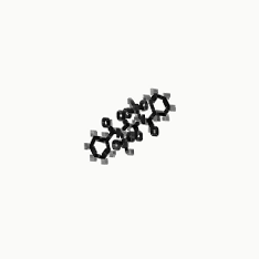 CS(=O)(=O)N(C(=O)C(=O)N(C(=O)c1ccccc1)S(C)(=O)=O)C(=O)c1ccccc1